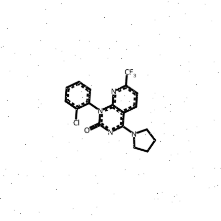 O=c1nc(N2CCCC2)c2ccc(C(F)(F)F)nc2n1-c1ccccc1Cl